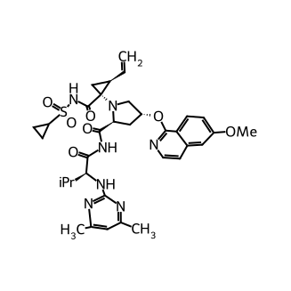 C=C[C@@H]1C[C@@]1(C(=O)NS(=O)(=O)C1CC1)N1C[C@H](Oc2nccc3cc(OC)ccc23)C[C@H]1C(=O)NC(=O)[C@@H](Nc1nc(C)cc(C)n1)C(C)C